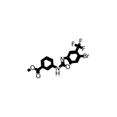 COC(=O)c1cccc(Nc2nc3cc(C(F)(F)F)c(Br)cc3o2)c1